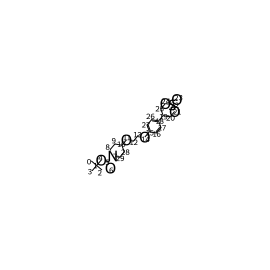 CC(C)(C)OC(=O)N1CCC(OCCOc2ccc(C3COS(=O)OC3)cc2)CC1